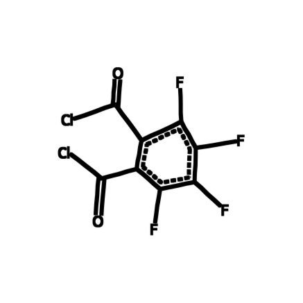 O=C(Cl)c1c(F)c(F)c(F)c(F)c1C(=O)Cl